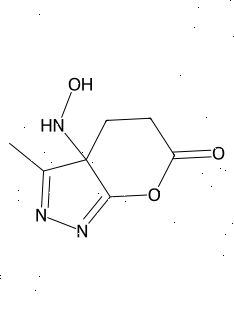 CC1=NN=C2OC(=O)CCC12NO